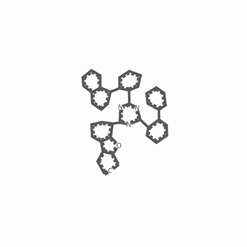 c1ccc(-c2ccccc2-c2nc(-c3ccccc3-c3cccc4ccccc34)nc(-c3cccc4c3oc3ccccc34)n2)cc1